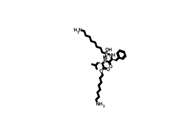 CC(C)C[C@H](NC(=O)[C@H](Cc1ccccc1)NP(=O)(O)CCCCCCCCN)C(=O)OCCCCCCCCN